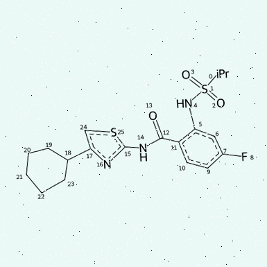 CC(C)S(=O)(=O)Nc1cc(F)ccc1C(=O)Nc1nc(C2CCCCC2)cs1